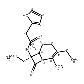 COC[C@@]1(NC(=O)Cc2ccco2)C(=O)N2C(C(=O)[O-])=C(COC(C)=O)CS[C@@H]21.[Na+]